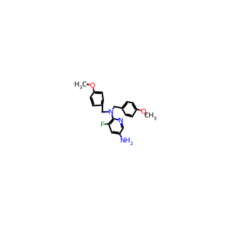 COc1ccc(CN(Cc2ccc(OC)cc2)c2ncc(N)cc2F)cc1